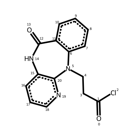 O=C(Cl)CCN1c2ccccc2C(=O)Nc2cccnc21